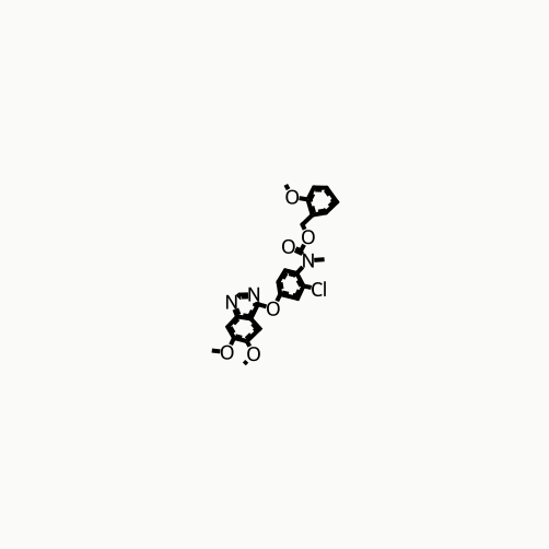 COc1ccccc1COC(=O)N(C)c1ccc(Oc2ncnc3cc(OC)c(OC)cc23)cc1Cl